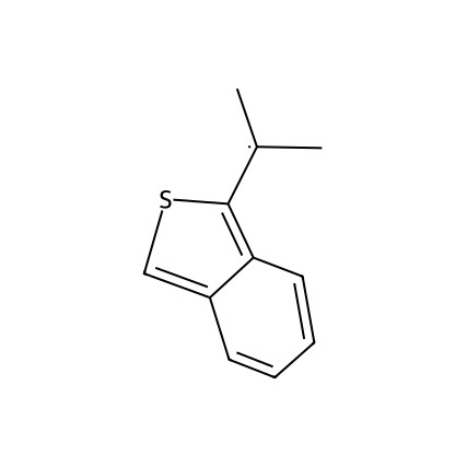 C[C](C)c1scc2ccccc12